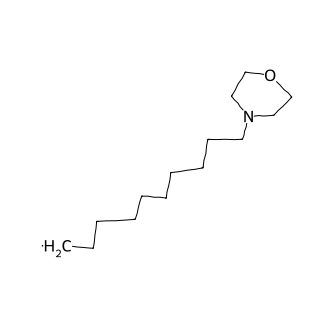 [CH2]CCCCCCCCCN1CCOCC1